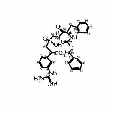 N=C(N)Nc1cccc(C(CP(=O)(O)CNC(=O)C(Cc2ccccc2)NC(=O)OCc2ccccc2)C(=O)O)c1